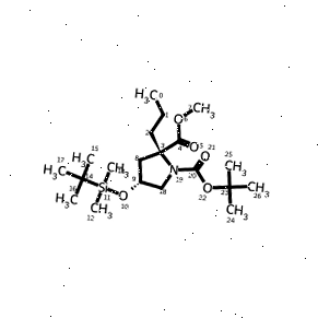 CCC[C@]1(C(=O)OC)C[C@@H](O[Si](C)(C)C(C)(C)C)CN1C(=O)OC(C)(C)C